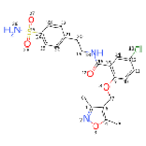 Cc1noc(C)c1COc1ccc(Cl)cc1C(=O)NCCc1ccc(S(N)(=O)=O)cc1